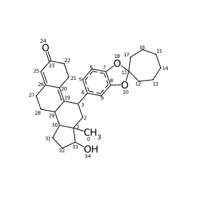 CC12CC(c3ccc4c(c3)OC3(CCCCCC3)O4)C3=C4CCC(=O)C=C4CCC3C1CCC2O